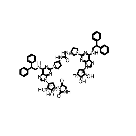 C[C@H]1C[C@@H](n2cnc3c(NCC(c4ccccc4)c4ccccc4)nc(N4CC[C@@H](NC(=O)N[C@@H]5CCN(c6nc(NCC(c7ccccc7)c7ccccc7)c7ncn([C@@H]8C[C@H](N9C(=O)CNC9=O)[C@@H](O)[C@H]8O)c7n6)C5)C4)nc32)[C@H](O)[C@@H]1O